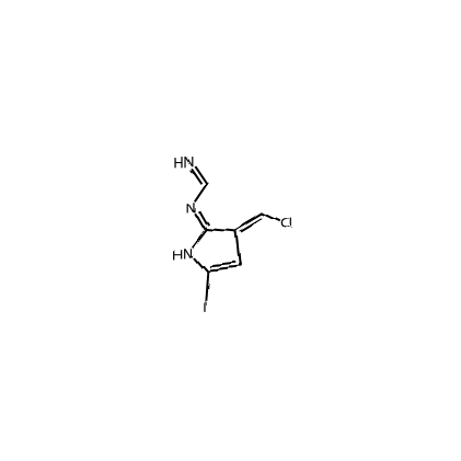 N=C/N=C1/NC(I)=C/C1=C\Cl